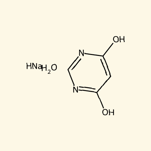 O.Oc1cc(O)ncn1.[NaH]